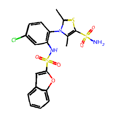 CC1=C(S(N)(=O)=O)SC(C)N1c1ccc(Cl)cc1NS(=O)(=O)c1cc2ccccc2o1